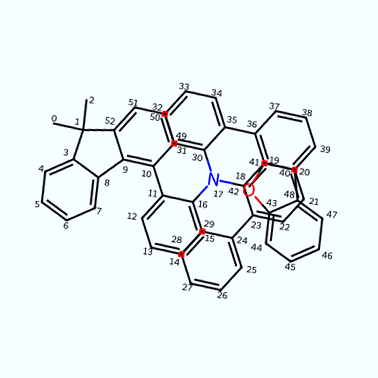 CC1(C)c2ccccc2-c2c(-c3ccccc3N(c3ccccc3-c3ccccc3)c3ccccc3-c3cccc4c3oc3ccccc34)cccc21